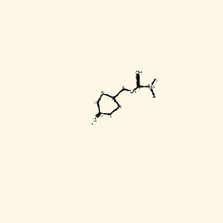 CN(C)C(=O)OCC1CCC(=O)CC1